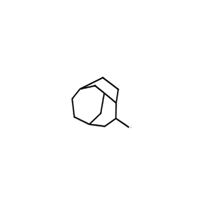 [CH2]C1CC2CCC3CCC1C(C3)C2